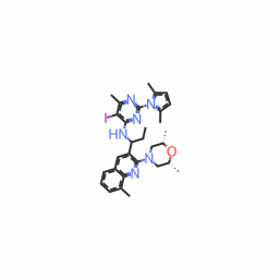 CCC(Nc1nc(-n2c(C)ccc2C)nc(C)c1I)c1cc2cccc(C)c2nc1N1C[C@@H](C)O[C@@H](C)C1